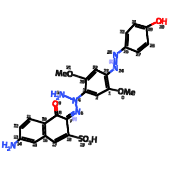 COc1cc(N(N)/N=C2\C(=O)c3ccc(N)cc3C=C2S(=O)(=O)O)c(OC)cc1/N=N/c1ccc(O)cc1